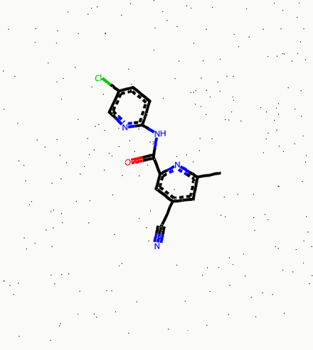 Cc1cc(C#N)cc(C(=O)Nc2ccc(Cl)cn2)n1